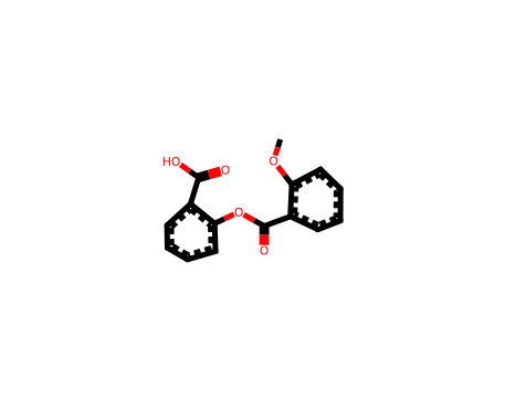 COc1ccccc1C(=O)Oc1ccccc1C(=O)O